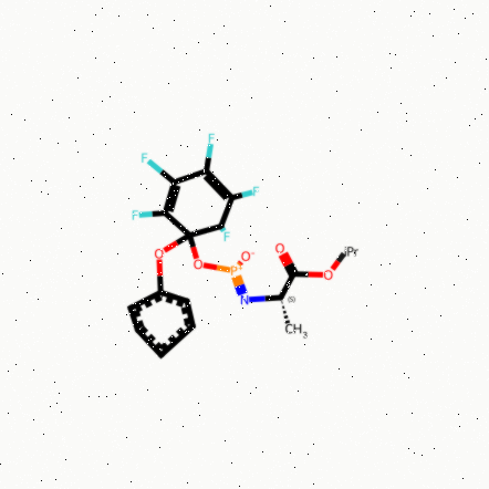 CC(C)OC(=O)[C@H](C)N=[P+]([O-])OC1(Oc2ccccc2)C(F)=C(F)C(F)=C(F)C1F